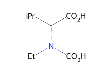 CCN(C(=O)O)C(C(=O)O)C(C)C